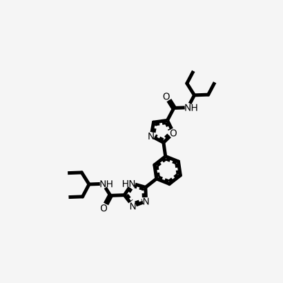 CCC(CC)NC(=O)c1nnc(-c2cccc(-c3ncc(C(=O)NC(CC)CC)o3)c2)[nH]1